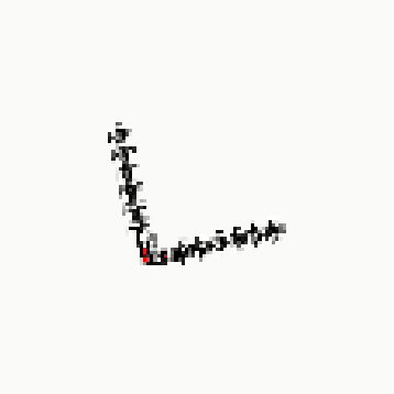 F[B-](F)(F)F.F[B-](F)(F)F.F[B-](F)(F)F.F[B-](F)(F)F.F[B-](F)(F)F.F[B-](F)(F)F.F[B-](F)(F)F.F[B-](F)(F)F.F[B-](F)(F)F.F[B-](F)(F)F.F[B-](F)(F)F.F[B-](F)(F)F.[Li+].[Li+].[Li+].[Li+].[Li+].[Li+].[Li+].[Li+].[Li+].[Li+].[Li+].[Li+]